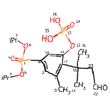 Cc1cc(P(=O)(OC(C)C)OC(C)C)cc(OP(=O)(O)O)c1C(C)(C)CC=O